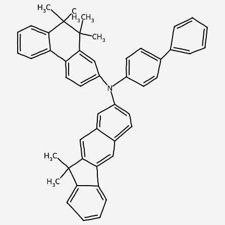 CC1(C)c2ccccc2-c2cc3ccc(N(c4ccc(-c5ccccc5)cc4)c4ccc5c(c4)C(C)(C)C(C)(C)c4ccccc4-5)cc3cc21